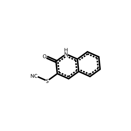 N#CSc1cc2ccccc2[nH]c1=O